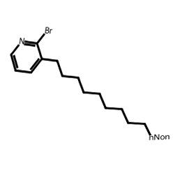 CCCCCCCCCCCCCCCCCCc1cccnc1Br